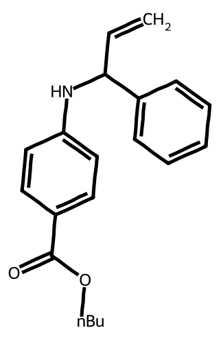 C=CC(Nc1ccc(C(=O)OCCCC)cc1)c1ccccc1